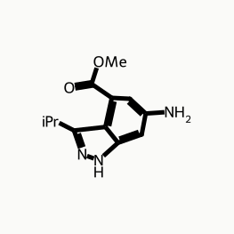 COC(=O)c1cc(N)cc2[nH]nc(C(C)C)c12